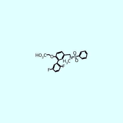 CN(Cc1ccc(OCC(=O)O)c(-c2cc(F)ccc2F)c1)S(=O)(=O)c1ccccc1